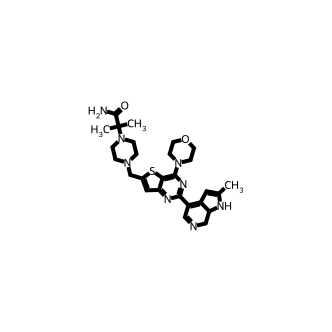 CC1=CC2=C(c3nc(N4CCOCC4)c4sc(CN5CCN(C(C)(C)C(N)=O)CC5)cc4n3)C=NCC2N1